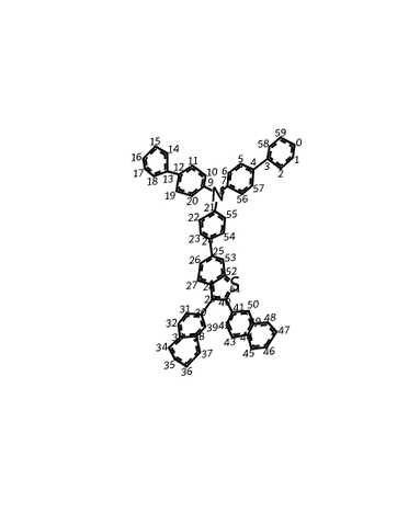 c1ccc(-c2ccc(N(c3ccc(-c4ccccc4)cc3)c3ccc(-c4ccc5c(-c6ccc7ccccc7c6)c(-c6ccc7ccccc7c6)sc5c4)cc3)cc2)cc1